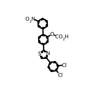 O=C(O)Oc1cc(-c2nc(-c3ccc(Cl)c(Cl)c3)cs2)ccc1-c1cccc([N+](=O)[O-])c1